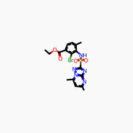 CCOC(=O)c1ccc(C)c(NS(=O)(=O)c2nc3nc(C)cc(C)n3n2)c1Br